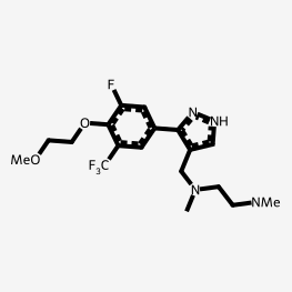 CNCCN(C)Cc1c[nH]nc1-c1cc(F)c(OCCOC)c(C(F)(F)F)c1